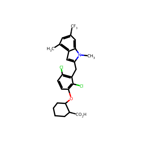 Cc1cc(C(F)(F)F)cc2c1cc(Cc1c(Cl)ccc(OC3CCCCC3C(=O)O)c1Cl)n2C